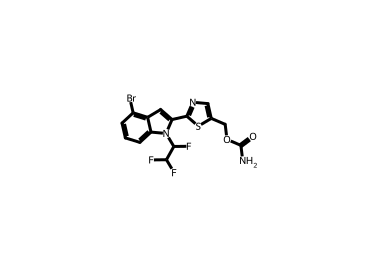 NC(=O)OCc1cnc(-c2cc3c(Br)cccc3n2C(F)C(F)F)s1